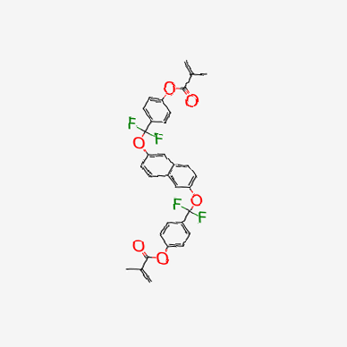 C=C(C)C(=O)Oc1ccc(C(F)(F)Oc2ccc3cc(OC(F)(F)c4ccc(OC(=O)C(=C)C)cc4)ccc3c2)cc1